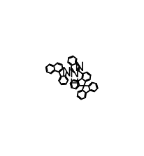 c1ccc2c(c1)N=C(c1cccc3c1-c1ccccc1C31c3ccccc3-c3ccccc31)NC2n1c2ccccc2c2c3ccccc3ccc21